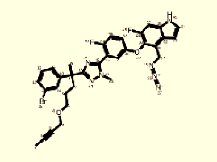 CC#CCOCCCC(C)(c1cccc(Br)c1)c1nc(-c2cc(Oc3c(F)cc4[nH]ccc4c3CN=[N+]=[N-])ccc2F)n(C)n1